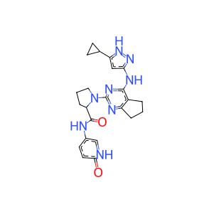 O=C(Nc1ccc(=O)[nH]c1)C1CCCN1c1nc2c(c(Nc3cc(C4CC4)[nH]n3)n1)CCC2